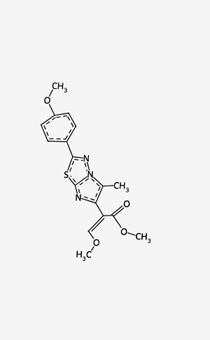 COC=C(C(=O)OC)c1nc2sc(-c3ccc(OC)cc3)nn2c1C